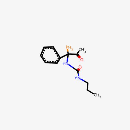 CCCNC(=O)NC(P)(C(C)=O)c1ccccc1